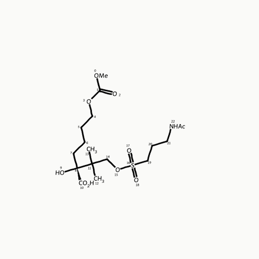 COC(=O)OCCCC[C@](O)(C(=O)O)C(C)(C)COS(=O)(=O)CCCNC(C)=O